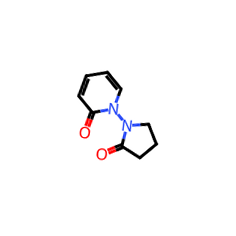 O=C1CCCN1n1ccccc1=O